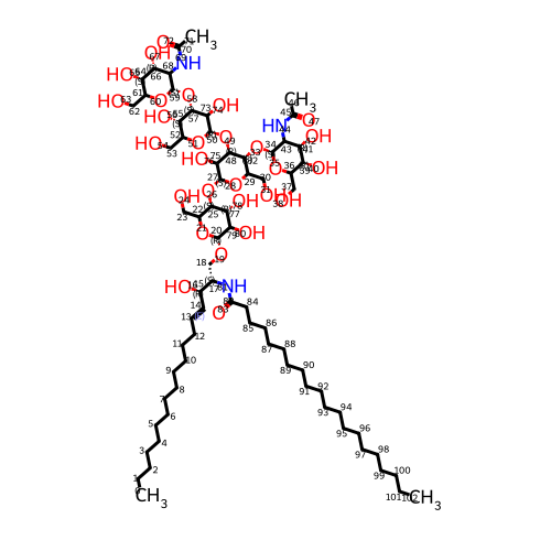 CCCCCCCCCCCCC/C=C/[C@@H](O)[C@H](CO[C@@H]1OC(CO)[C@@H](O[C@@H]2OC(CO)[C@H](O[C@@H]3OC(CO)[C@H](O)[C@H](O)C3NC(C)=O)[C@H](O[C@H]3OC(CO)[C@H](O)[C@H](O[C@@H]4OC(CO)[C@@H](O)[C@H](O)C4NC(C)=O)C3O)C2O)[C@H](O)C1O)NC(=O)CCCCCCCCCCCCCCCCCCC